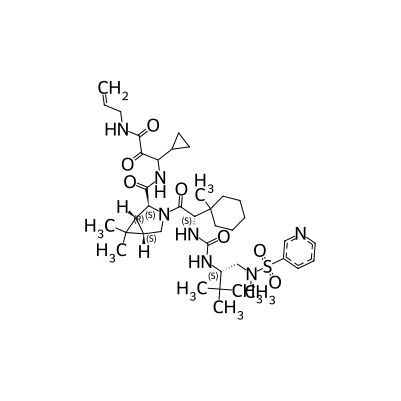 C=CCNC(=O)C(=O)C(NC(=O)[C@@H]1[C@@H]2[C@H](CN1C(=O)[C@@H](NC(=O)N[C@H](CN(C)S(=O)(=O)c1cccnc1)C(C)(C)C)C1(C)CCCCC1)C2(C)C)C1CC1